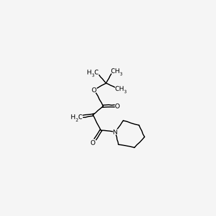 C=C(C(=O)OC(C)(C)C)C(=O)N1CCCCC1